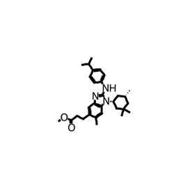 COC(=O)CCc1cc2nc(Nc3ccc(C(C)C)cc3)n([C@@H]3C[C@H](C)CC(C)(C)C3)c2cc1C